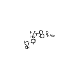 CNC(=O)c1ccnc2c([C@H](C)CNc3cc(-c4cncc(C#N)c4)ncn3)cccc12